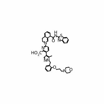 Cc1c(-c2ccc(N3C=C4C(=CC=CC4C(=O)Nc4nc5ccccc5s4)CC3)nc2C(=O)O)cnn1Cc1ccccc1OCCCN1CCOCC1